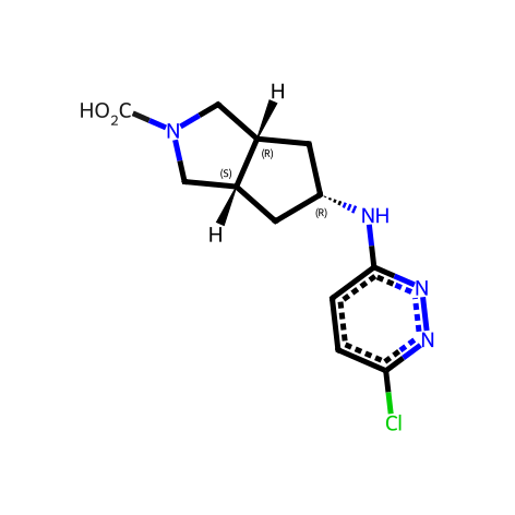 O=C(O)N1C[C@H]2C[C@@H](Nc3ccc(Cl)nn3)C[C@H]2C1